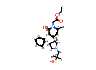 CCOC(=O)Cn1c(C)cc([C@@H]2CN(CC(C)(C)O)C[C@@H]2c2ccccc2)cc1=O